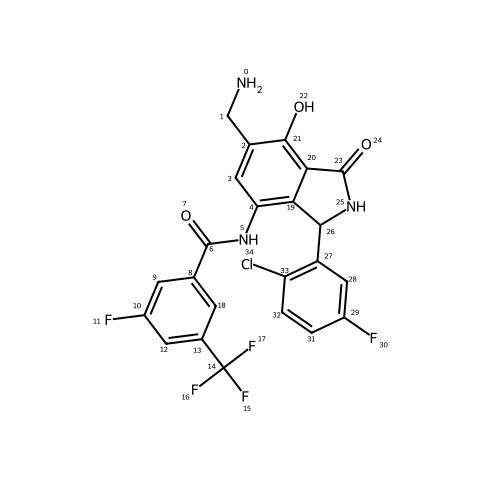 NCc1cc(NC(=O)c2cc(F)cc(C(F)(F)F)c2)c2c(c1O)C(=O)NC2c1cc(F)ccc1Cl